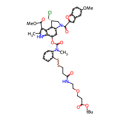 COC(=O)c1c(C)[nH]c2c(OC(=O)N(C)c3ccccc3SSCCC(=O)NCCOCCC(=O)OC(C)(C)C)cc3c(c12)[C@H](CCl)CN3C(=O)c1cc2cc(OC)ccc2o1